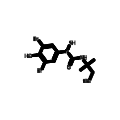 CC(C)(C)CC(C)(C)NC(=O)N(S)c1cc(Br)c(O)c(Br)c1